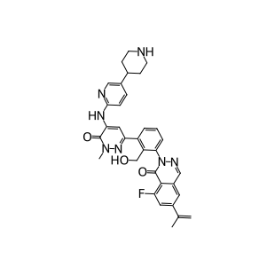 C=C(C)c1cc(F)c2c(=O)n(-c3cccc(-c4cc(Nc5ccc(C6CCNCC6)cn5)c(=O)n(C)n4)c3CO)ncc2c1